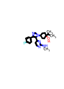 CNc1nccc(-c2c(-c3ccc(F)cc3)ncn2C2CCC(O)(C(C)C)CC2)n1